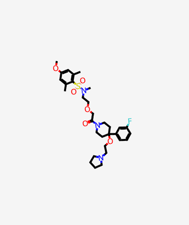 COc1cc(C)c(S(=O)(=O)N(C)CCOCC(=O)N2CCC(OCCN3CCCC3)(c3cccc(F)c3)CC2)c(C)c1